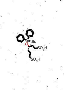 CC(C)(C)[Si](O[C@@H](CCCS(=O)(=O)O)CCS(=O)(=O)O)(c1ccccc1)c1ccccc1